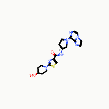 O=C(N[C@H]1CCN(c2nccn3ccnc23)C1)c1csc(N2CCC(O)CC2)n1